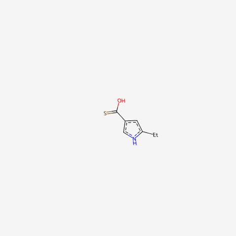 CCc1cc(C(O)=S)c[nH]1